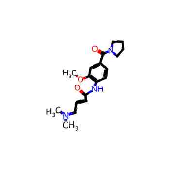 COc1cc(C(=O)N2CCCC2)ccc1NC(=O)/C=C/CN(C)C